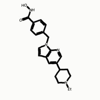 CCN1CCC(c2cnc3c(ccn3Cc3ccc(C(=O)NO)cc3)c2)CC1